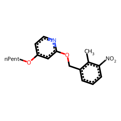 CCCCCOc1ccnc(OCc2cccc([N+](=O)[O-])c2C)c1